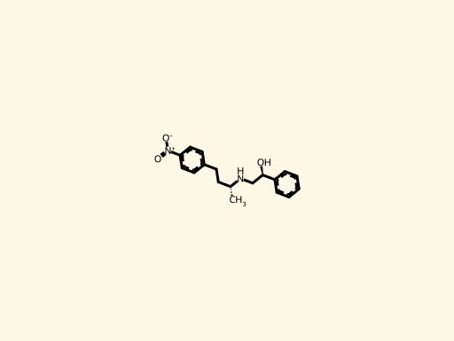 C[C@H](CCc1ccc([N+](=O)[O-])cc1)NC[C@@H](O)c1ccccc1